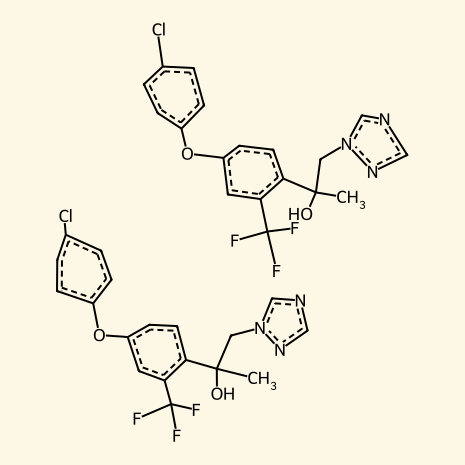 CC(O)(Cn1cncn1)c1ccc(Oc2ccc(Cl)cc2)cc1C(F)(F)F.CC(O)(Cn1cncn1)c1ccc(Oc2ccc(Cl)cc2)cc1C(F)(F)F